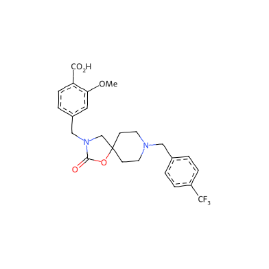 COc1cc(CN2CC3(CCN(Cc4ccc(C(F)(F)F)cc4)CC3)OC2=O)ccc1C(=O)O